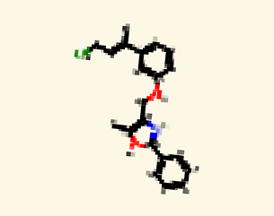 CC(=CCCl)c1cccc(OCc2nc(-c3ccccc3)oc2C)c1